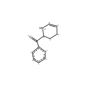 O=C(c1ccccn1)C1CCC=CN1